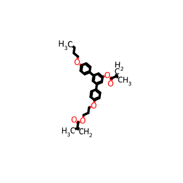 C=C(C)C(=O)OCCCOc1ccc(-c2cc(OC(=O)C(=C)C)cc(-c3ccc(OCCCC)cc3)c2)cc1